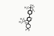 CC(C)(C)c1ccc(-c2cc(S(C)(C)C)c(C3CCC(F)(F)CC3)cn2)cc1